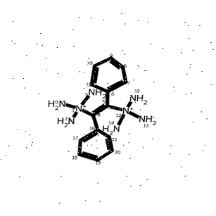 N[N+](N)(N)C(=C(c1ccccc1)[N+](N)(N)N)c1ccccc1